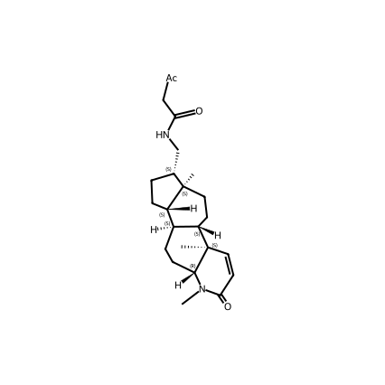 CC(=O)CC(=O)NC[C@H]1CC[C@H]2[C@@H]3CC[C@H]4N(C)C(=O)C=C[C@]4(C)[C@H]3CC[C@]12C